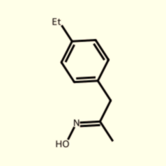 CCc1ccc(CC(C)=NO)cc1